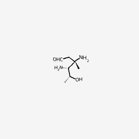 C[C@@H](O)[C@H](N)[C@@](C)(N)CC=O